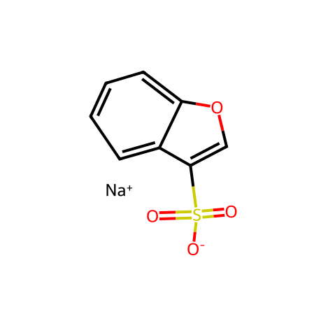 O=S(=O)([O-])c1coc2ccccc12.[Na+]